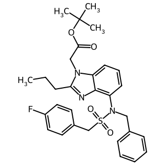 CCCc1nc2c(N(Cc3ccccc3)S(=O)(=O)Cc3ccc(F)cc3)cccc2n1CC(=O)OC(C)(C)C